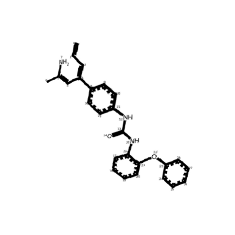 C=C/C=C(\C=C(\C)N)c1ccc(NC(=O)Nc2ccccc2Oc2ccccc2)cc1